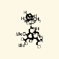 COc1c(C[C@H](NC(=O)Cn2nnc(CCl)c2CCl)B2O[C@@H]3C[C@@H]4C[C@@H](C4(C)C)[C@]3(C)O2)cccc1C(=O)OC(C)(C)C